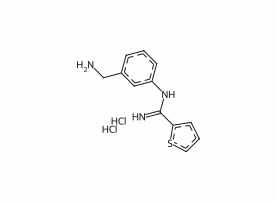 Cl.Cl.N=C(Nc1cccc(CN)c1)c1cccs1